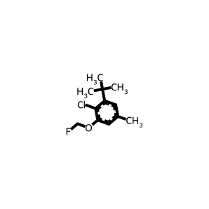 Cc1cc(OCF)c(Cl)c(C(C)(C)C)c1